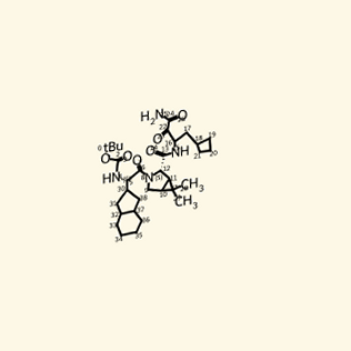 CC(C)(C)OC(=O)N[C@H](C(=O)N1CC2C([C@H]1C(=O)NC(CC1CCC1)C(=O)C(N)=O)C2(C)C)C1CC2CCCCC2C1